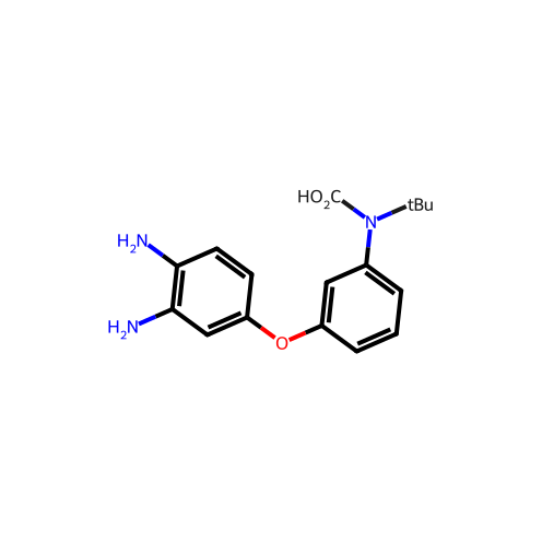 CC(C)(C)N(C(=O)O)c1cccc(Oc2ccc(N)c(N)c2)c1